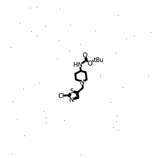 CC(C)(C)OC(=O)NC1CCN(Cc2cnc(Cl)s2)CC1